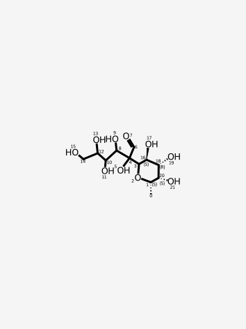 C[C@@H]1OC(C(O)(C=O)C(O)C(O)C(O)CO)[C@@H](O)[C@H](O)[C@@H]1O